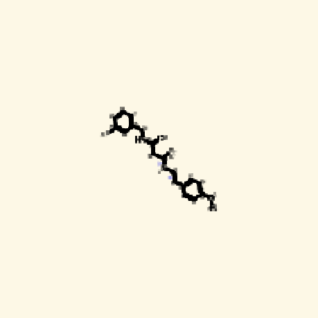 CCOc1ccc(/C=C/N=C(\CC)CC(=O)NCc2cccc(F)c2)cc1